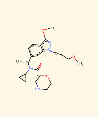 COCCCn1nc(OC)c2ccc([C@@H](C)N(C(=O)[C@H]3CNCCO3)C3CC3)cc21